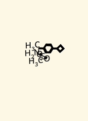 CC(N)c1ccc(C2CCC2)cc1S(C)(=O)=O